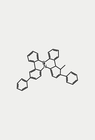 CC1C(c2ccccc2)=CC=C2C1c1ccccc1B1c3ccccc3-c3cc(-c4ccccc4)ccc3N12